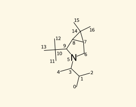 CC(C)C(C)N1CC2C(C1C(C)(C)C)C2(C)C